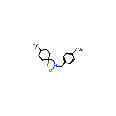 CCN(Cc1ccc(OC)cc1)CC1(F)CCC(C(F)(F)F)CC1